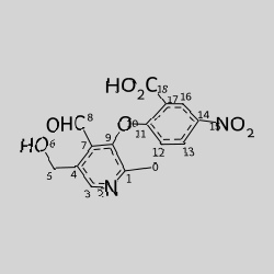 Cc1ncc(CO)c(C=O)c1Oc1ccc([N+](=O)[O-])cc1C(=O)O